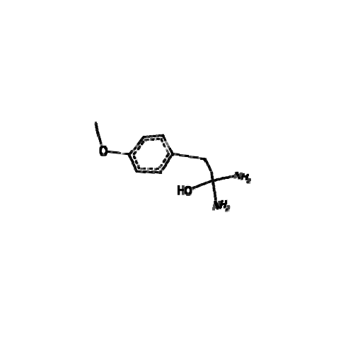 COc1ccc(CC(N)(N)O)cc1